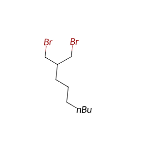 CCCCCCCC(CBr)CBr